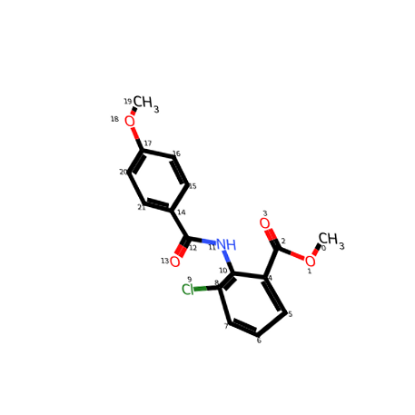 COC(=O)c1cccc(Cl)c1NC(=O)c1ccc(OC)cc1